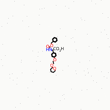 O=C(NC(C(=O)O)c1ccc(OCCOC2CCCCO2)cc1)OCc1ccccc1